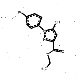 CCOC(=O)c1cc(O)n(-c2ccc(Br)cc2)n1